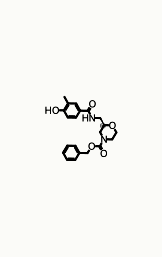 Cc1cc(C(=O)NC[C@@H]2CN(C(=O)OCc3ccccc3)CCO2)ccc1O